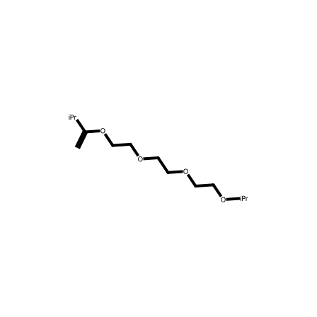 C=C(OCCOCCOCCOC(C)C)C(C)C